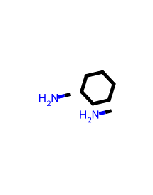 C1CCCCC1.CN.CN